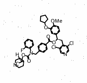 COc1ccc([C@@H](Cc2c(Cl)cncc2Cl)OC(=O)c2ccc(CN(C(=O)O[C@H]3CN4CCC3CC4)c3ccccc3F)cc2)cc1OC1CCCC1